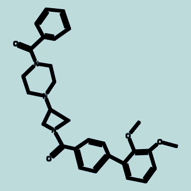 COc1cccc(-c2ccc(C(=O)N3CC(N4CCN(C(=O)c5ccccc5)CC4)C3)cc2)c1OC